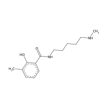 CNCCCCCNC(=O)c1cccc(C)c1O